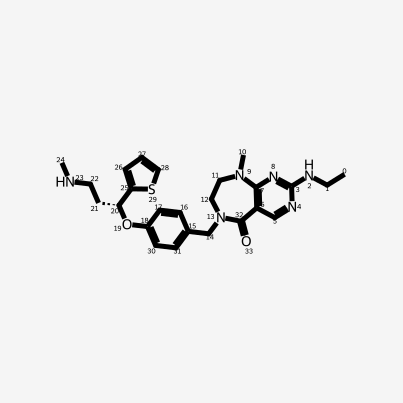 CCNc1ncc2c(n1)N(C)CCN(Cc1ccc(O[C@H](CCNC)c3cccs3)cc1)C2=O